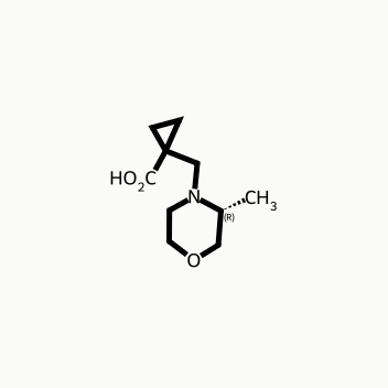 C[C@@H]1COCCN1CC1(C(=O)O)CC1